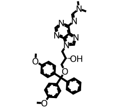 COc1ccc(C(OC[C@@H](O)Cn2cnc3c(N=CN(C)C)ncnc32)(c2ccccc2)c2ccc(OC)cc2)cc1